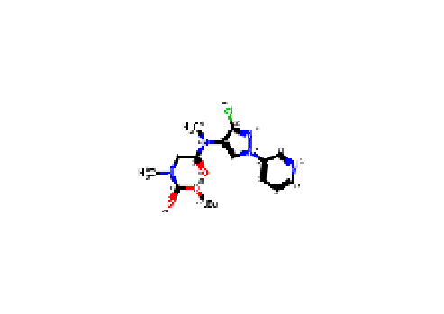 CN(CC(=O)N(C)c1cn(-c2cccnc2)nc1Cl)C(=O)OC(C)(C)C